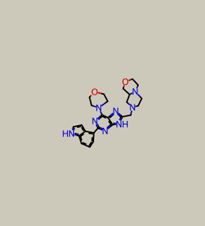 c1cc(-c2nc(N3CCOCC3)c3nc(CN4CCN5CCOCC5C4)[nH]c3n2)c2cc[nH]c2c1